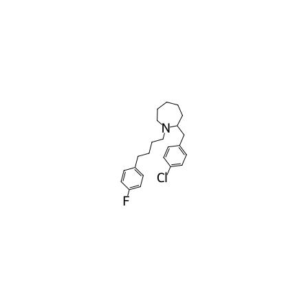 Fc1ccc(CCCCN2CCCCCC2Cc2ccc(Cl)cc2)cc1